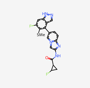 CSc1c(F)cc2[nH]ncc2c1-c1ccc2nc(NC(=O)C3CC3F)cn2c1